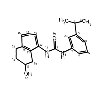 CC(C)c1cccc(NC(=O)Nc2cccc3c2CC(O)CC3)c1